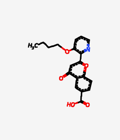 CCCCOc1cccnc1-c1cc(=O)c2cc(C(=O)O)ccc2o1